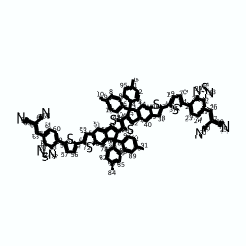 Cc1ccc(C2(c3ccc(C)cc3)c3cc4sc(-c5ccc(-c6ccc(C=C(C#N)C#N)c7nsnc67)s5)cc4cc3-c3sc4c5c(sc4c32)-c2cc3cc(-c4ccc(-c6ccc(C=C(C#N)C#N)c7nsnc67)s4)sc3cc2C5(c2ccc(C)cc2)c2ccc(C)cc2)cc1